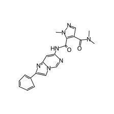 CN(C)C(=O)c1cnn(C)c1C(=O)Nc1cc2nc(-c3ccccc3)cn2cn1